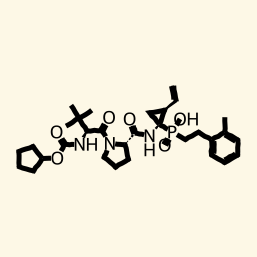 C=C[C@@H]1C[C@]1(NC(=O)[C@@H]1CCCN1C(=O)[C@@H](NC(=O)OC1CCCC1)C(C)(C)C)P(=O)(O)CCc1ccccc1C